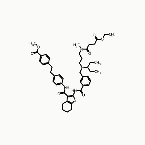 CCOC(=O)CCC(=O)N(C)CCCN(Cc1cccc(C(=O)Nc2sc3c(c2C(=O)Nc2ccc(CCc4ccc(C(=O)OC)cc4)cc2)CCCC3)c1)C(CC)CC